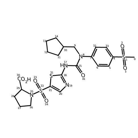 CS(=O)(=O)c1ccc(N(CC2CCCC2)C(=O)Nc2ncc(S(=O)(=O)N3CCCC3C(=O)O)s2)cc1